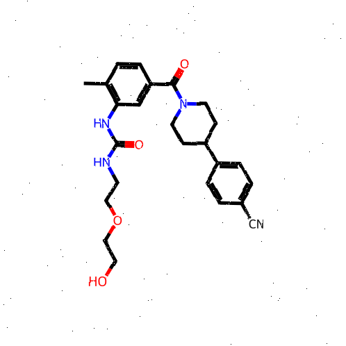 Cc1ccc(C(=O)N2CCC(c3ccc(C#N)cc3)CC2)cc1NC(=O)NCCOCCO